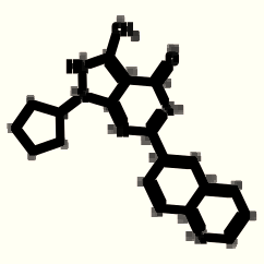 Cc1[nH]n(C2CCCC2)c2nc(-c3ccc4ncccc4c3)nc(=O)c1-2